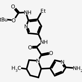 CCc1cc(NC(=O)C(=O)N2CC(C)CCC2c2ccc(N)nc2)cnc1NC(=O)OC(C)(C)C